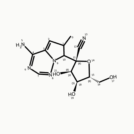 CC1C=C2C(N)=NC=NN2C1[C@]1(C#N)O[C@H](CO)[C@@H](O)[C@H]1O